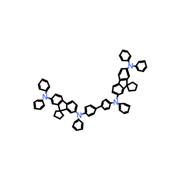 c1ccc(N(c2ccccc2)c2ccc3c(c2)C2(CCCC2)c2cc(N(c4ccccc4)c4ccc(-c5ccc(N(c6ccccc6)c6ccc7c(c6)C6(CCCC6)c6cc(N(c8ccccc8)c8ccccc8)ccc6-7)cc5)cc4)ccc2-3)cc1